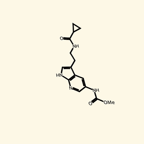 COC(=O)Nc1cnc2[nH]cc(CCNC(=O)C3CC3)c2c1